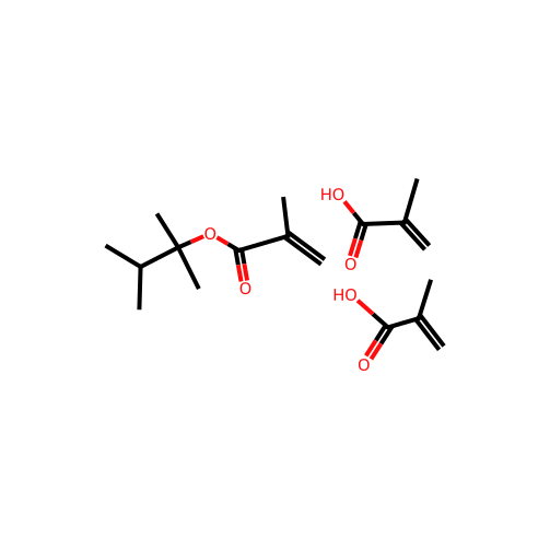 C=C(C)C(=O)O.C=C(C)C(=O)O.C=C(C)C(=O)OC(C)(C)C(C)C